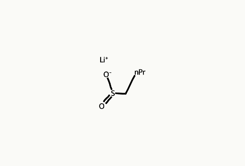 CCCCS(=O)[O-].[Li+]